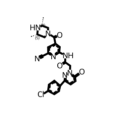 C[C@@H]1CN(C(=O)c2cc(C#N)nc(NC(=O)Cn3nc(-c4ccc(Cl)cc4)ccc3=O)c2)C[C@H](C)N1